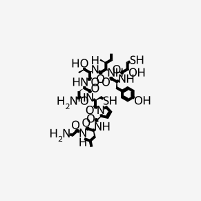 CC[C@H](C)[C@H](NC(=O)[C@H](Cc1ccc(O)cc1)NC(=O)[C@@H](O)CS)C(=O)N[C@H](C(=O)N[C@@H](CC(N)=O)C(=O)N[C@@H](CS)C(=O)N1CC=C[C@H]1C(=O)N[C@@H](CC(C)C)C(=O)NC(=O)CN)[C@@H](C)O